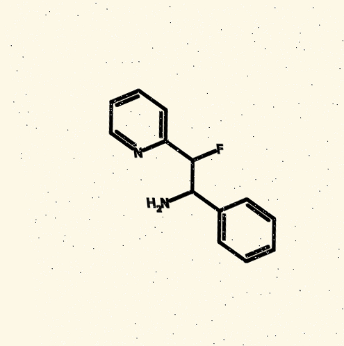 NC(c1ccccc1)C(F)c1ccccn1